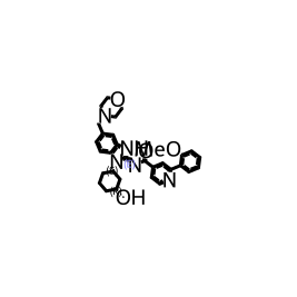 COc1ccccc1-c1cc(C(=O)/N=c2\[nH]c3cc(CN4CCOCC4)ccc3n2[C@H]2CCC[C@@H](O)C2)ccn1